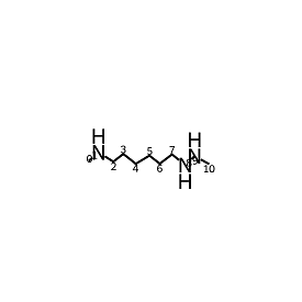 CNCCCCCCNNC